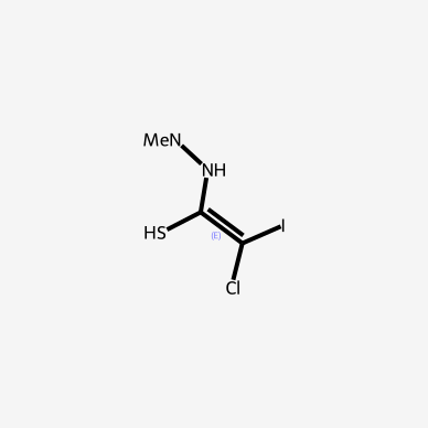 CNN/C(S)=C(/Cl)I